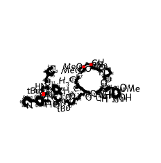 CO[C@H]1C[C@@H](C)[C@@]2(O)O[C@H]1[C@H](OC)C[C@H](C)C/C(C)=C\[C@H](C/C=C/C(=O)C[C@H](C(=O)N[C@@H](Cc1ccccc1)[C@@H](O)CN(CC(=O)[C@@H](NC(=O)OCc1ccccc1)C(C)(C)C)Cc1ccc(-c3ccccn3)cc1)C(C)(C)C)C(=O)C[C@H](O)[C@@H](C)[C@@H](/C(C)=C/[C@@H]1CC[C@@H](O)[C@H](OC)C1)OC(=O)C1CCCCN1C(=O)C2=O